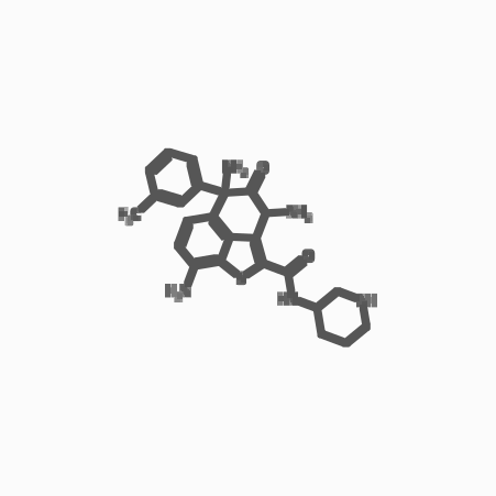 Nc1ccc2c3c(c(C(=O)NC4CCCNC4)sc13)C(N)C(=O)C2(N)c1cccc(C(F)(F)F)c1